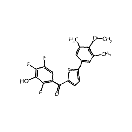 COc1c(C)cc(-c2ccc(C(=O)c3cc(F)c(F)c(O)c3F)s2)cc1C